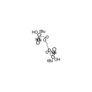 CC(C)(C)c1cc(CCC(=O)OCCCCCCOC(=O)CCc2cc(C(C)(C)C)c(O)cc2-n2nc3ccccc3n2)c(-n2nc3ccccc3n2)cc1O